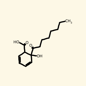 CCCCCCCC(=O)C1(O)C=CC=CC1C(=O)O